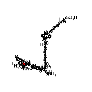 CCCC1O[C@@H]2C[C@H]3[C@@H]4CCC5=CC(=O)C=C[C@]5(C)[C@H]4[C@@H](O)C[C@]3(C)[C@]2(C(=O)COC(CC)NC(=O)CNC(=O)OCc2ccc(NC(=O)[C@H](CCCNC(N)=O)NC(=O)[C@@H](NC(=O)CCOCCOCCOCCOCCNC(=O)CCC(=O)N3Cc4ccccc4-c4c(nnn4CCOCCOCCOCCOCCC(=O)NCCS(=O)(=O)O)-c4ccccc43)C(C)C)cc2)O1